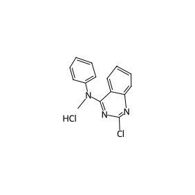 CN(c1ccccc1)c1nc(Cl)nc2ccccc12.Cl